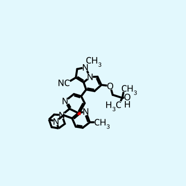 Cc1ccc(CN2C3CC2CN(c2ccc(C4=CC(OCC(C)(C)O)=CN5C4=C(C#N)CN5C)cn2)C3)cn1